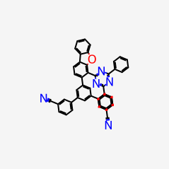 N#Cc1cccc(-c2cc(-c3cccc(C#N)c3)cc(-c3ccc4c(oc5ccccc54)c3-c3nc(-c4ccccc4)nc(-c4ccccc4)n3)c2)c1